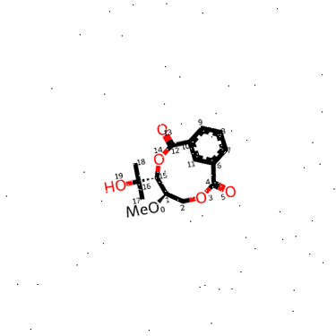 CO[C@@H]1COC(=O)c2cccc(c2)C(=O)O[C@H]1C(C)(C)O